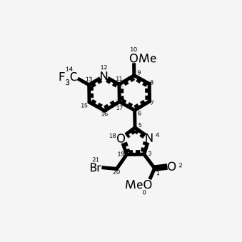 COC(=O)c1nc(-c2ccc(OC)c3nc(C(F)(F)F)ccc23)oc1CBr